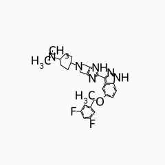 CC(Oc1ccc2[nH]nc(-c3nc4c([nH]3)CN(C3CCC(N(C)C)CC3)C4)c2c1)c1cc(F)cc(F)c1